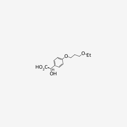 CCOCCCOc1ccc([C@@H](O)C(=O)O)cc1